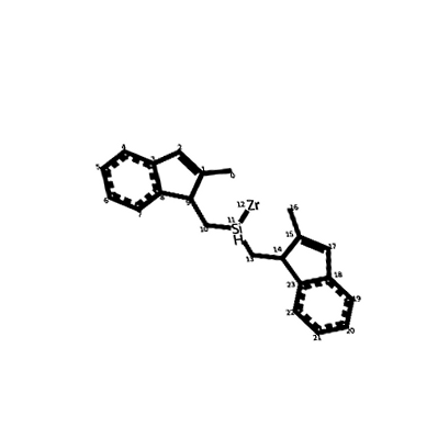 CC1=Cc2ccccc2C1C[SiH]([Zr])CC1C(C)=Cc2ccccc21